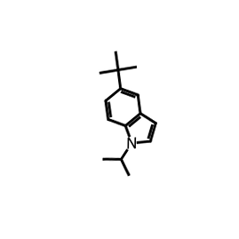 CC(C)n1ccc2cc(C(C)(C)C)ccc21